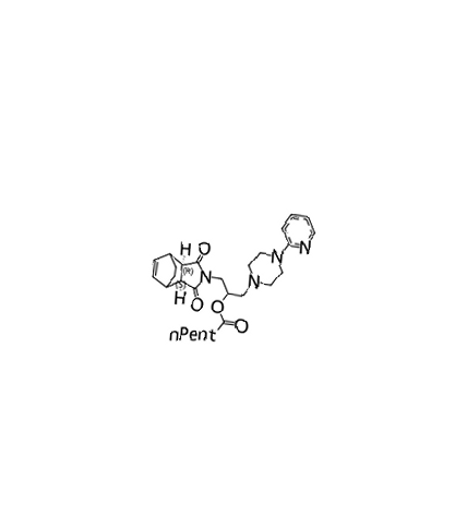 CCCCCC(=O)OC(CN1CCN(c2ccccn2)CC1)CN1C(=O)[C@@H]2C3C=CC(CC3)[C@@H]2C1=O